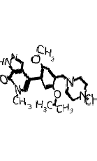 COc1cc(CN2CCN(C)CC2)c(OC(C)C)cc1-c1cn(C)c(=O)c2[nH]ncc12